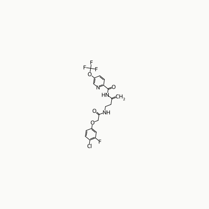 C=C(CCNC(=O)COc1ccc(Cl)c(F)c1)NC(=O)c1ccc(OC(F)(F)F)cn1